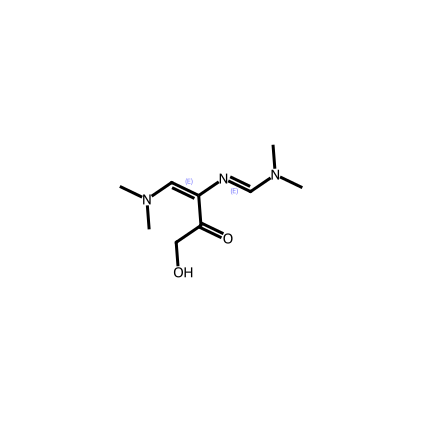 CN(C)/C=N/C(=C/N(C)C)C(=O)CO